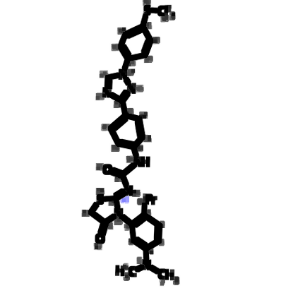 CC(C)c1ccc(N(C)C)cc1N1C(=O)CS/C1=N\C(=O)Nc1ccc(-c2ncn(-c3ccc(SC(F)(F)F)cc3)n2)cc1